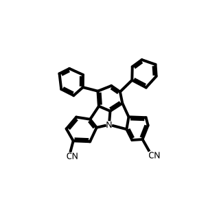 N#Cc1ccc2c3c(-c4ccccc4)cc(-c4ccccc4)c4c5ccc(C#N)cc5n(c2c1)c34